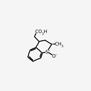 C[C@@H]1CC(CC(=O)O)c2ccccc2[S+]1[O-]